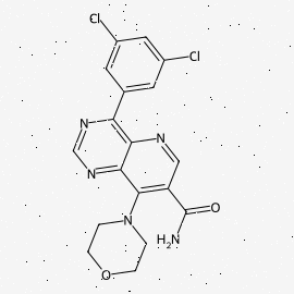 NC(=O)c1cnc2c(-c3cc(Cl)cc(Cl)c3)ncnc2c1N1CCOCC1